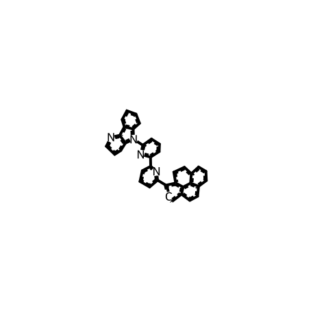 c1cc(-c2cccc(-n3c4ccccc4c4ncccc43)n2)nc(-c2ccc3ccc4cccc5ccc2c3c45)c1